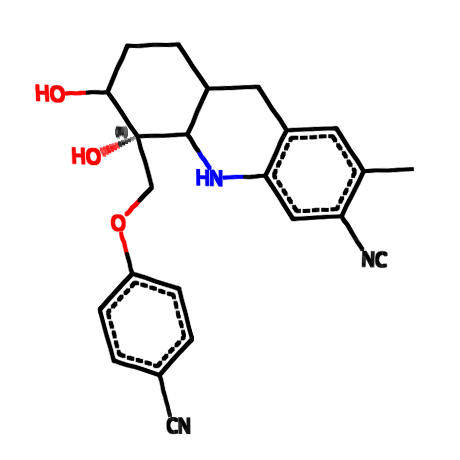 [C-]#[N+]c1cc2c(cc1C)CC1CCC(O)[C@](O)(COc3ccc(C#N)cc3)C1N2